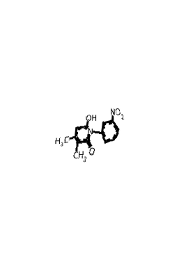 Cc1cc(O)n(-c2cccc([N+](=O)[O-])c2)c(=O)c1C